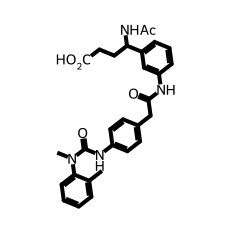 CC(=O)NC(CCC(=O)O)c1cccc(NC(=O)Cc2ccc(NC(=O)N(C)c3ccccc3C)cc2)c1